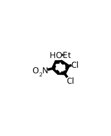 CCO.O=[N+]([O-])c1ccc(Cl)c(Cl)c1